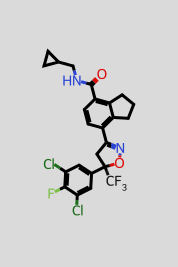 O=C(NCC1CC1)c1ccc(C2=NOC(c3cc(Cl)c(F)c(Cl)c3)(C(F)(F)F)C2)c2c1CCC2